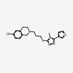 Cn1c(SCCCN2CCc3cc(Cl)ccc3C2)nnc1-c1ccsc1